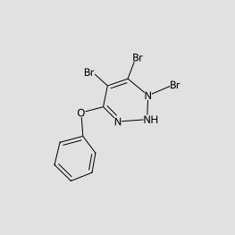 BrC1=C(Br)N(Br)NN=C1Oc1ccccc1